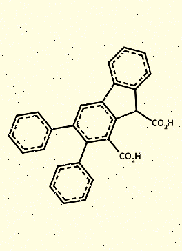 O=C(O)c1c(-c2ccccc2)c(-c2ccccc2)cc2c1C(C(=O)O)c1ccccc1-2